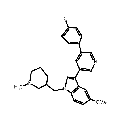 COc1ccc2c(c1)c(-c1cncc(-c3ccc(Cl)cc3)c1)cn2CC1CCCN(C)C1